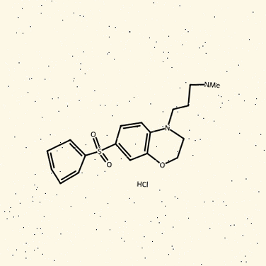 CNCCCN1CCOc2cc(S(=O)(=O)c3ccccc3)ccc21.Cl